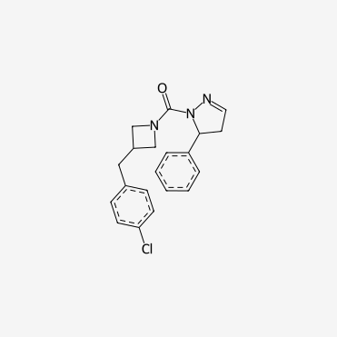 O=C(N1CC(Cc2ccc(Cl)cc2)C1)N1N=CCC1c1ccccc1